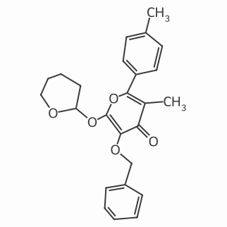 Cc1ccc(-c2oc(OC3CCCCO3)c(OCc3ccccc3)c(=O)c2C)cc1